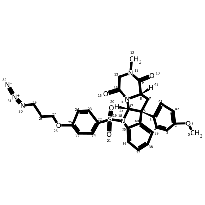 COc1ccc([C@]23C[C@H]4C(=O)N(C)CC(=O)N4[C@H]2N(S(=O)(=O)c2ccc(OCCCN=[N+]=[N-])cc2)c2ccccc23)cc1